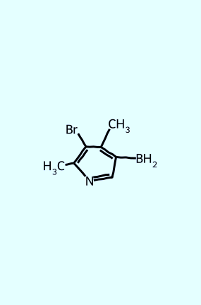 Bc1cnc(C)c(Br)c1C